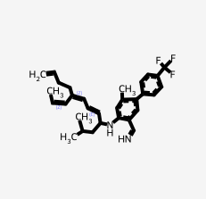 C=CCCC(/C=C\C)=C/C=C/C(CC(C)C)Nc1cc(C)c(-c2ccc(C(F)(F)F)cc2)cc1C=N